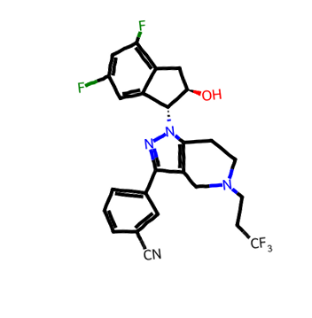 N#Cc1cccc(-c2nn([C@@H]3c4cc(F)cc(F)c4C[C@H]3O)c3c2CN(CCC(F)(F)F)CC3)c1